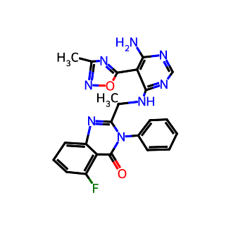 Cc1noc(-c2c(N)ncnc2N[C@@H](C)c2nc3cccc(F)c3c(=O)n2-c2ccccc2)n1